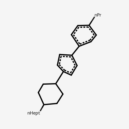 CCCCCCCC1CCC(c2ccc(-c3ccc(CCC)cc3)cc2)CC1